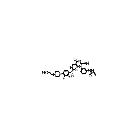 C=CC(=O)Nc1cccc(-n2c(C#N)nc(=O)c3cnc(Nc4ccc(N5CCN(CCO)CC5)c(F)c4F)nc32)c1